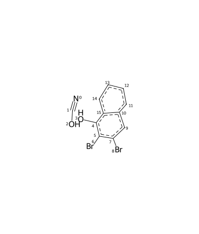 N#CO.Oc1c(Br)c(Br)cc2ccccc12